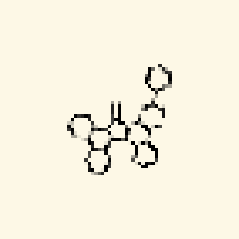 Cc1c(/C=C(\I)c2ccccc2)c2[nH]c3c4ccccc4c4ccccc4c3c2c2ccccc12